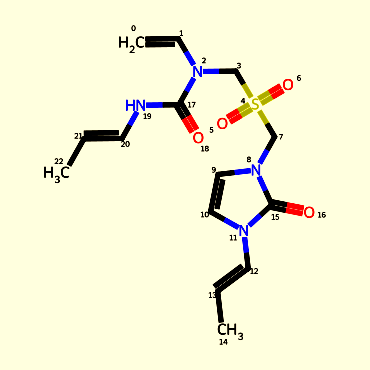 C=CN(CS(=O)(=O)Cn1ccn(/C=C/C)c1=O)C(=O)N/C=C/C